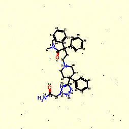 CN(C)C(=O)C(CCN1CCC(c2ccccc2)(c2nnn(CC(N)=O)n2)CC1)(c1ccccc1)c1ccccc1